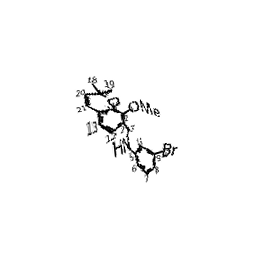 COc1c(CNc2cccc(Br)c2)ccc2c1OC(C)(C)C=C2